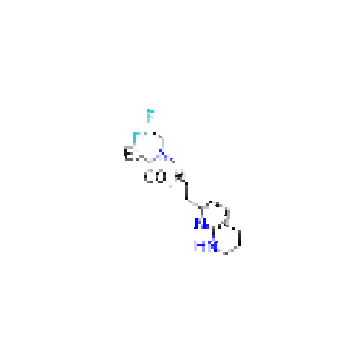 CCC(C(=O)O)N(CCCCc1ccc2c(n1)NCCC2)CC(F)F